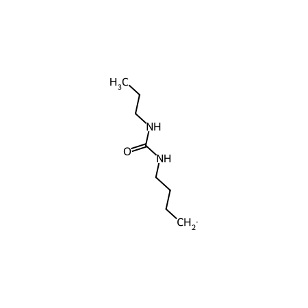 [CH2]CCCNC(=O)NCCC